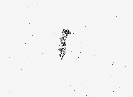 Cc1ccc2cc(NC(=O)CO[C@H]3CC[C@H](Nc4ccc([N+](=O)[O-])c(C(F)(F)F)c4)CC3)ccc2c1